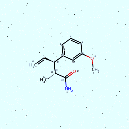 C=C[C@@H](c1cccc(OC)c1)[C@@H](C)C(N)=O